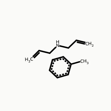 C=CCNCC=C.Cc1ccccc1